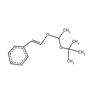 CC(OC=Cc1ccccc1)OC(C)(C)C